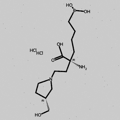 Cl.Cl.N[C@](CCCCB(O)O)(CCN1CC[C@@H](CO)C1)C(=O)O